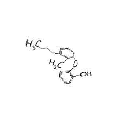 CCCCc1cccc(Oc2ccccc2O)c1C